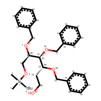 CC(C)(C)[Si](C)(C)OC[C@@H](OCc1ccccc1)[C@@H](OCc1ccccc1)[C@@H](CCO)OCc1ccccc1